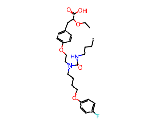 CCCCNC(=O)N(CCCCOc1ccc(F)cc1)CCOc1ccc(CC(OCC)C(=O)O)cc1